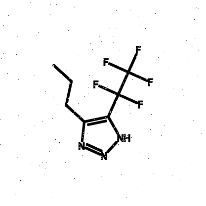 CCCc1nn[nH]c1C(F)(F)C(F)(F)F